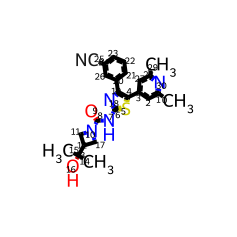 Cc1cc(-c2sc(NC(=O)N3CC(C(C)(C)O)C3)nc2-c2cccc(C#N)c2)cc(C)n1